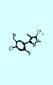 Cc1c(-c2cc(CBr)c(Cl)cc2F)nn(C)c1C(F)(F)F